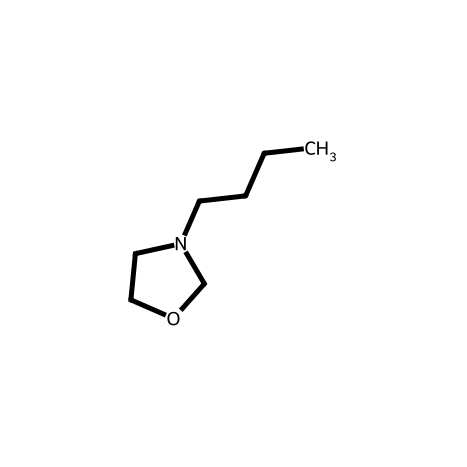 CCCCN1CCOC1